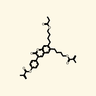 C=C(C)C(=O)OCCCCc1cc2cc(-c3ccc(OC(=O)C(=C)C)cc3)c(=O)oc2cc1CCCCOC(=O)CC